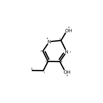 CCC1=C[N]C(O)N=C1O